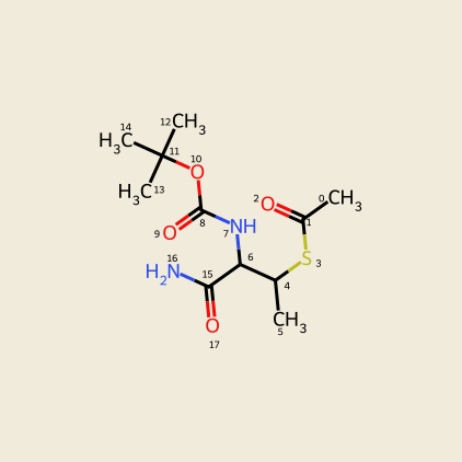 CC(=O)SC(C)C(NC(=O)OC(C)(C)C)C(N)=O